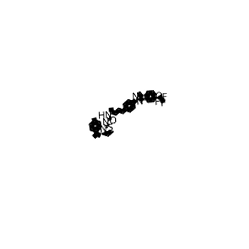 Cc1ccc(C(C)C)c(N2CCCS/C2=N\C(=O)NC(C)CCCc2ccc(-c3ncn(-c4ccc(OC(F)(F)F)cc4)n3)cc2)c1